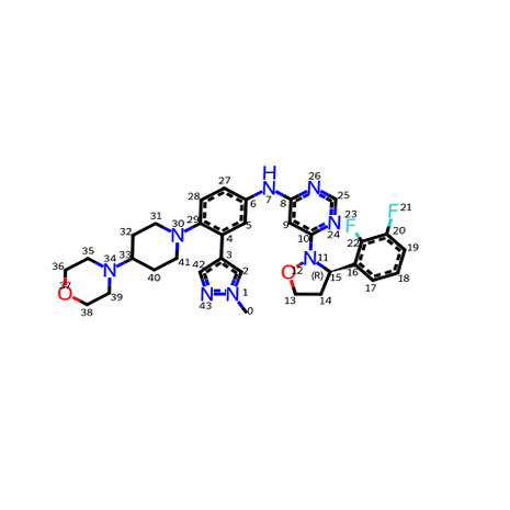 Cn1cc(-c2cc(Nc3cc(N4OCC[C@@H]4c4cccc(F)c4F)ncn3)ccc2N2CCC(N3CCOCC3)CC2)cn1